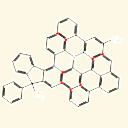 CC(C)(C)c1ccc(N(c2ccccc2-c2cccc3c2-c2ccccc2C3(C)c2ccccc2)c2ccccc2-c2cccc3cccc(-c4ccccc4)c23)c(-c2ccccc2)c1